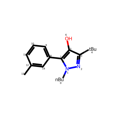 CCCCn1nc(C(C)(C)C)c(O)c1-c1cccc(C)c1